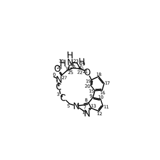 CN1CCCCn2cc3c(cccc3n2)-c2cccc(c2)O[C@@H]2CN[C@@H](C2)C1=O